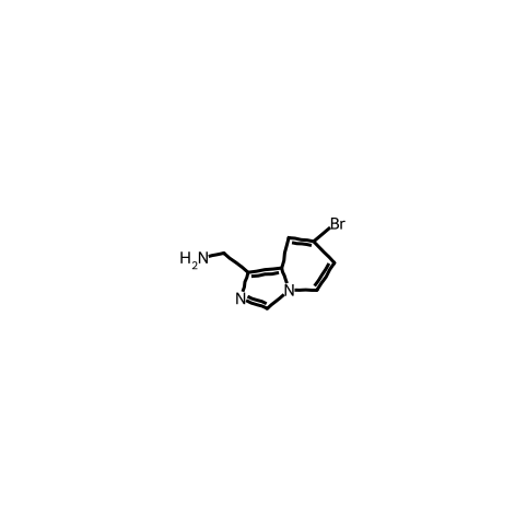 NCc1ncn2ccc(Br)cc12